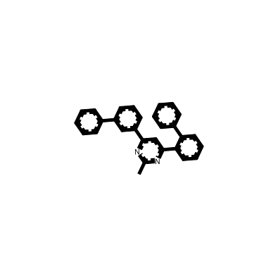 Cc1nc(-c2cccc(-c3ccccc3)c2)cc(-c2ccccc2-c2ccccc2)n1